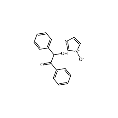 O=C(c1ccccc1)C(O)c1ccccc1.[O-][s+]1ccnc1